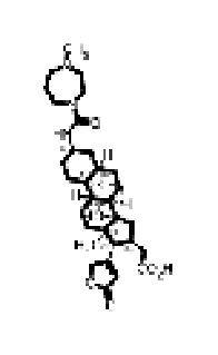 CN1CCCN(C(=O)N[C@H]2CC[C@@]3(C)[C@H](CC[C@@H]4[C@@H]3CC[C@]3(C)[C@@H](C5=CC(=O)OC5)[C@H](CC(=O)O)C[C@]43O)C2)CC1